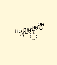 O=C(O)NCC1=NNC(CNC(=O)O)=C2CCCCCCC12